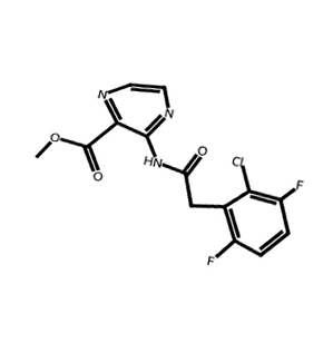 COC(=O)c1nccnc1NC(=O)Cc1c(F)ccc(F)c1Cl